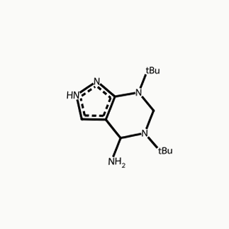 CC(C)(C)N1CN(C(C)(C)C)C(N)c2c[nH]nc21